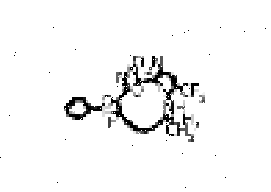 CC1(C)CCC=CC(F)(F)C(OCc2ccccc2)c2nnc(o2)-c2nc(c(C(F)(F)F)cc2[N+](=O)[O-])N1